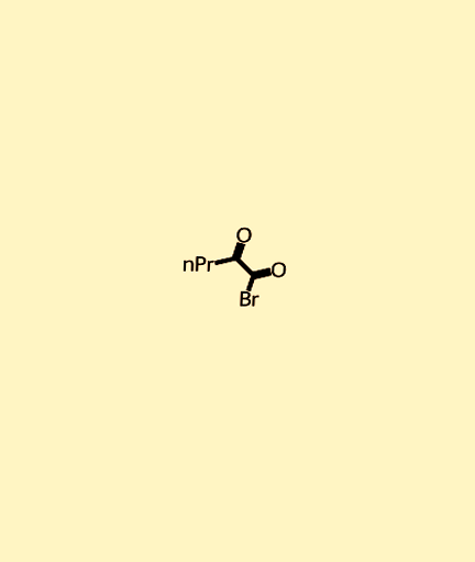 CCCC(=O)C(=O)Br